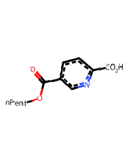 CCCCCOC(=O)c1ccc(C(=O)O)nc1